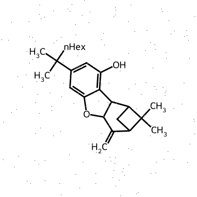 C=C1C2Oc3cc(C(C)(C)CCCCCC)cc(O)c3C2C2CC1C2(C)C